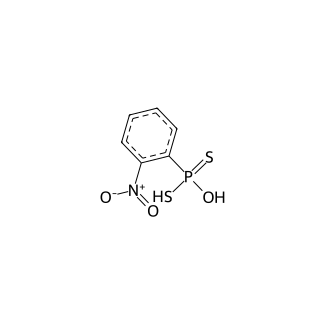 O=[N+]([O-])c1ccccc1P(O)(=S)S